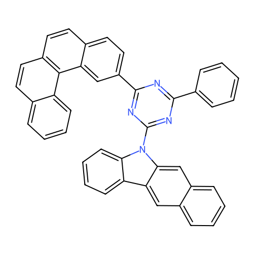 c1ccc(-c2nc(-c3ccc4ccc5ccc6ccccc6c5c4c3)nc(-n3c4ccccc4c4cc5ccccc5cc43)n2)cc1